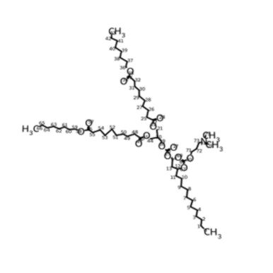 CCCCCCCCCCCCC(CCOC(=O)OCC(COC(=O)CCCCCCCCC(=O)OCCCCCCCC)COC(=O)CCCCCCCCC(=O)OCCCCCCCC)OC(=O)OCCCN(C)C